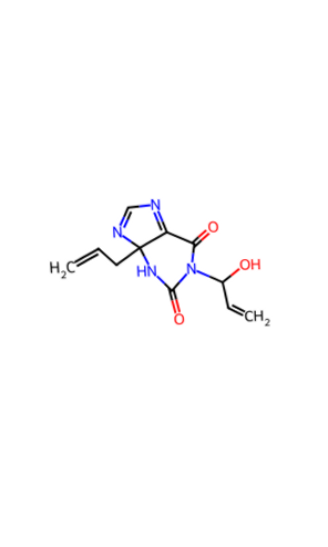 C=CCC12N=CN=C1C(=O)N(C(O)C=C)C(=O)N2